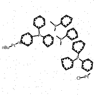 CCC[CH2][Pt][CH2]CCC.CP(C)c1ccccc1.CP(C)c1ccccc1.[CH3][Pt][Cl].c1ccc(P(c2ccccc2)c2ccccc2)cc1.c1ccc(P(c2ccccc2)c2ccccc2)cc1